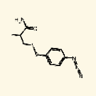 CC(CSSc1ccc(N=[N+]=[N-])cc1)C(N)=O